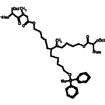 CCCCCCCCC(CCCCCC)C(=O)OCCCCN(C)C(CCCCCOC(=O)CN(C)C(=O)C(CCCCCC)CCCCCCCC)CCCCCO[Si](c1ccccc1)(c1ccccc1)C(C)(C)C